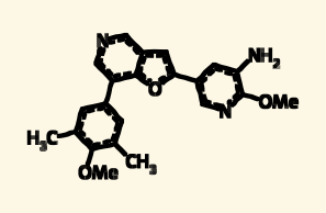 COc1ncc(-c2cc3cncc(-c4cc(C)c(OC)c(C)c4)c3o2)cc1N